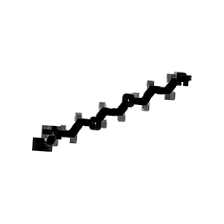 CCC(C)NCCOCCOCCCC(C)C